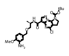 COc1ccc(COC[C@@H](C)NC(=O)c2cnn3c4c(c(Cl)nc23)CCN4C(=O)OC(C)(C)C)cc1N